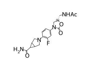 CC(=O)NC[C@H]1CN(c2ccc(N3CC4C(C3)C4C(N)=O)c(F)c2)C(=O)O1